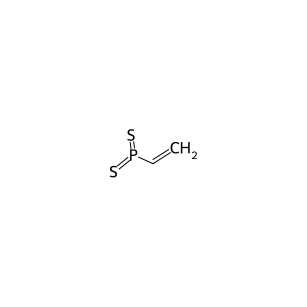 C=CP(=S)=S